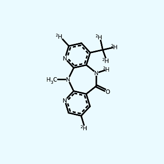 [2H]c1cnc2c(c1)C(=O)N([2H])c1c(C([2H])([2H])[2H])cc([2H])nc1N2C